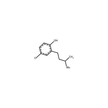 CC(CCc1cc(Cl)ccc1O)C(C)(C)C